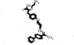 CCCOC(Cc1ccc(OCCO/N=C(/C)c2ccc(-c3ccccn3)cc2)cc1)C(=O)O